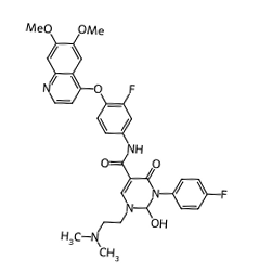 COc1cc2nccc(Oc3ccc(NC(=O)C4=CN(CCN(C)C)C(O)N(c5ccc(F)cc5)C4=O)cc3F)c2cc1OC